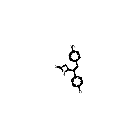 Cc1ccc(C=C(c2ccc(C)cc2)C2CC(=O)N2)cc1